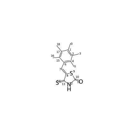 Cc1c(C)c(C)c(C=C2SC(=O)NC2=S)c(C)c1C